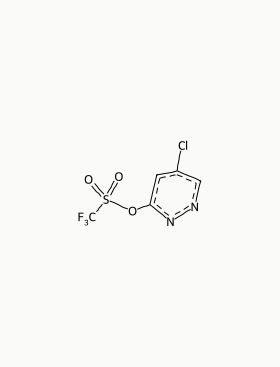 O=S(=O)(Oc1cc(Cl)cnn1)C(F)(F)F